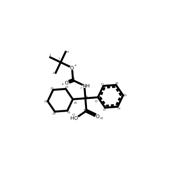 CC(C)(C)OC(=O)NC(C(=O)O)(c1ccccc1)C1CCCCC1